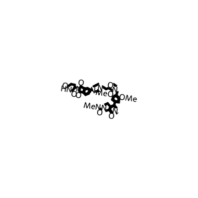 CNC(=O)N1CCc2c(-c3cc(OC)c(CN4CCOC(CCN5CCN(c6ccc7c(c6)C(=O)N(C6CCC(=O)NC6=O)C7=O)CC5)C4)c(OC)c3)cn(C)c(=O)c2C1